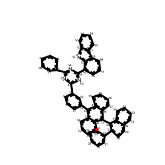 c1ccc(-c2nc(-c3cccc(-c4c5ccccc5c(-c5c(-c6ccccc6)ccc6ccccc56)c5ccccc45)c3)nc(-c3cccc4c3sc3ccccc34)n2)cc1